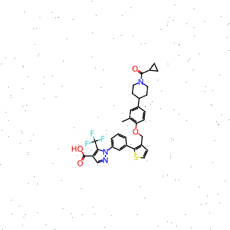 Cc1cc(C2CCN(C(=O)C3CC3)CC2)ccc1OCc1ccsc1-c1cccc(-n2ncc(C(=O)O)c2C(F)(F)F)c1